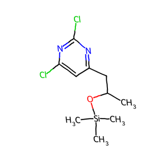 CC(Cc1cc(Cl)nc(Cl)n1)O[Si](C)(C)C